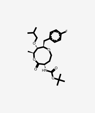 CC(C)CO[C@H]1[C@H](C)OC(=O)[C@@H](NC(=O)OC(C)(C)C)CCO[C@@H]1Cc1ccc(F)cc1